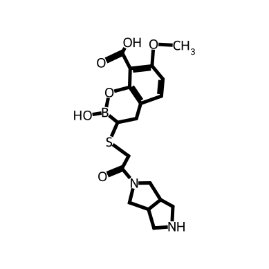 COc1ccc2c(c1C(=O)O)OB(O)C(SCC(=O)N1CC3CNCC3C1)C2